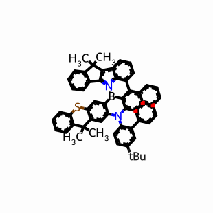 CC(C)(C)c1ccc(N2c3cc4c(cc3B3c5c2cc2ccccc2c5-c2cccc5c6c(n3c25)-c2ccccc2C6(C)C)Sc2ccccc2C4(C)C)c(-c2ccccc2)c1